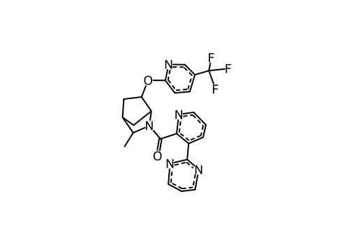 CC1C2CC(Oc3ccc(C(F)(F)F)cn3)C(C2)N1C(=O)c1ncccc1-c1ncccn1